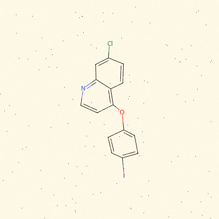 Clc1ccc2c(Oc3ccc(I)cc3)ccnc2c1